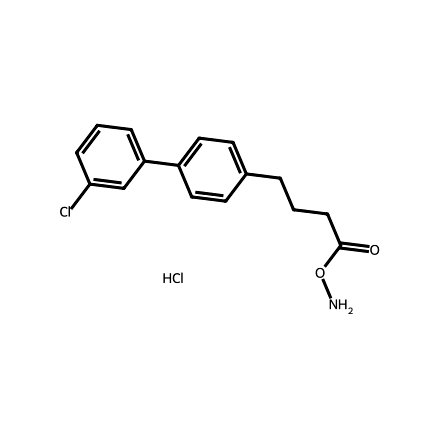 Cl.NOC(=O)CCCc1ccc(-c2cccc(Cl)c2)cc1